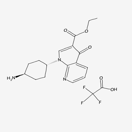 CCOC(=O)c1cn([C@H]2CC[C@H](N)CC2)c2ncccc2c1=O.O=C(O)C(F)(F)F